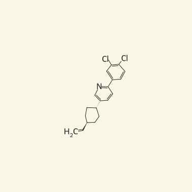 C=C[C@H]1CC[C@H](c2ccc(-c3ccc(Cl)c(Cl)c3)nc2)CC1